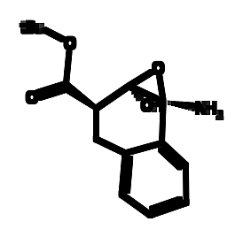 CC(C)(C)OC(=O)[C@@H]1Cc2ccccc2[C@]2(N)O[C@]12O